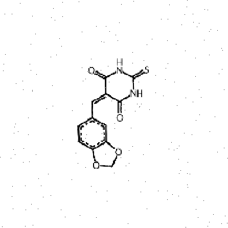 O=C1NC(=S)NC(=O)C1=Cc1ccc2c(c1)OCO2